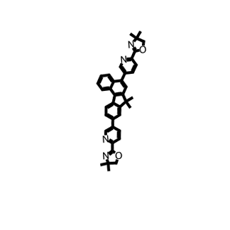 CC1(C)COC(c2ccc(-c3ccc4c(c3)C(C)(C)c3cc(-c5ccc(C6=NC(C)(C)CO6)nc5)c5ccccc5c3-4)cn2)=N1